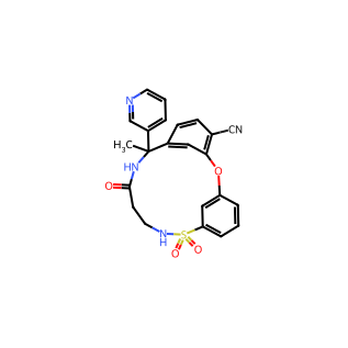 CC1(c2cccnc2)NC(=O)CCNS(=O)(=O)c2cccc(c2)Oc2cc1ccc2C#N